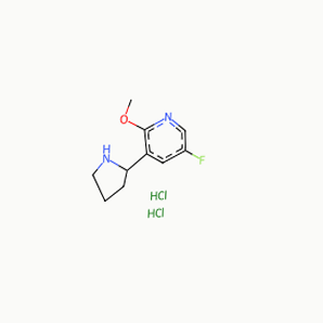 COc1ncc(F)cc1C1CCCN1.Cl.Cl